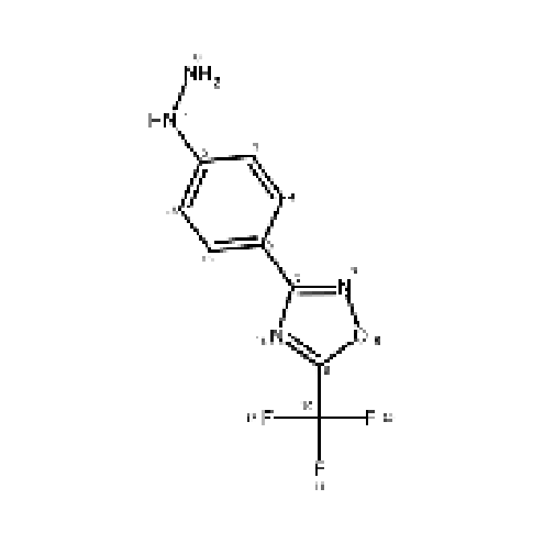 NNc1ccc(-c2noc(C(F)(F)F)n2)cc1